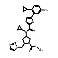 CC(C)(C)OC(=O)N1CC(N(C(=O)c2ncc(-c3cc(C#N)ccc3C3CC3)o2)C2CC2)CC1Cn1ccnn1